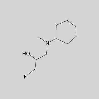 CN(CC(O)CF)C1CCCCC1